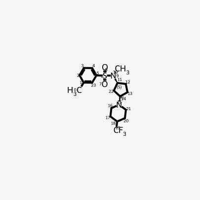 Cc1cccc(S(=O)(=O)N(C)[C@H]2CC[C@@H](N3CCC(C(F)(F)F)CC3)C2)c1